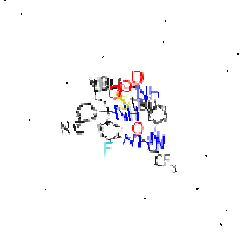 CC(C)(C)OC(=O)NCc1cccc(-n2nc(C(F)(F)F)cc2C(=O)Nc2cc(C(CCC3CC3)(N[S+]([O-])C(C)(C)C)c3cccc(C#N)c3)ccc2F)c1